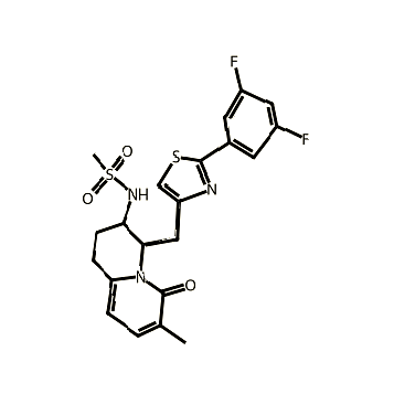 Cc1ccc2n(c1=O)C(Cc1csc(-c3cc(F)cc(F)c3)n1)C(NS(C)(=O)=O)CC2